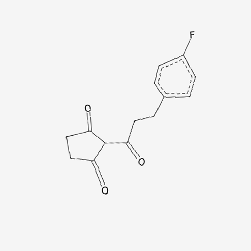 O=C1CCC(=O)C1C(=O)CCc1ccc(F)cc1